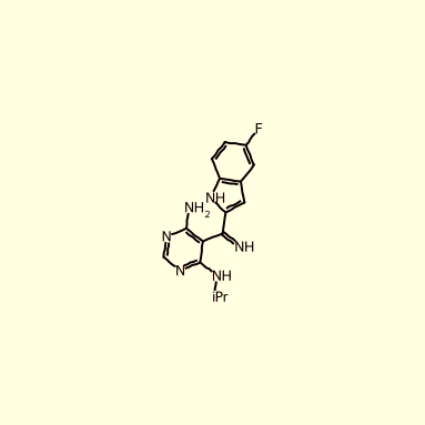 CC(C)Nc1ncnc(N)c1C(=N)c1cc2cc(F)ccc2[nH]1